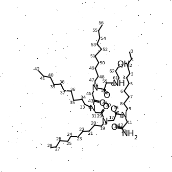 CCCCCCCCCCN(CC(N)=O)C(=O)CN(CCCCCCCCCC)C(=O)CN(CCCCCCCCCC)C(=O)CN(CCCCCCCCCC)C(=O)CNCCO